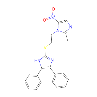 Cc1ncc([N+](=O)[O-])n1CCSc1nc(-c2ccccc2)c(-c2ccccc2)[nH]1